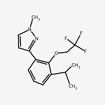 CC(C)c1cccc(-c2ccn(C)n2)c1OCC(F)(F)F